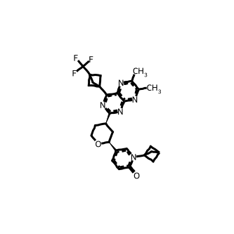 Cc1nc2nc([C@@H]3CCO[C@H](c4ccc(=O)n(C56CC(C5)C6)c4)C3)nc(C34CC(C(F)(F)F)(C3)C4)c2nc1C